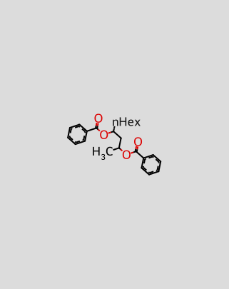 CCCCCCC(CC(C)OC(=O)c1ccccc1)OC(=O)c1ccccc1